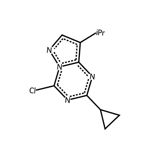 CC(C)c1cnn2c(Cl)nc(C3CC3)nc12